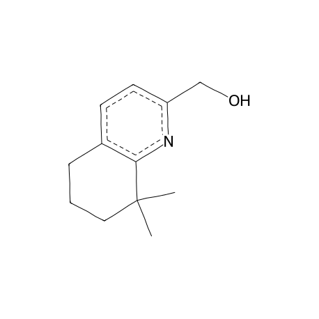 CC1(C)CCCc2ccc(CO)nc21